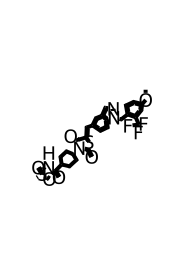 COc1ccc(Cn2ncc3cc(/C=C4\SC(=O)N(C5CCC(C(=O)NS(C)(=O)=O)CC5)C4=O)ccc32)c(C(F)(F)F)c1